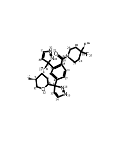 CC(C)C1(c2cc(C3(C4CC[C@H](C)CO4)C=CN=N3)ccc2C(=O)N2CCC(F)(F)CC2)C=CN=N1